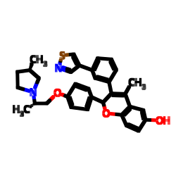 CC1=C(c2cccc(-c3cnsc3)c2)C(c2ccc(OC[C@H](C)N3CC[C@@H](C)C3)cc2)Oc2ccc(O)cc21